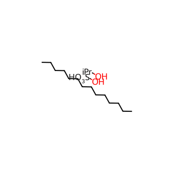 CC(C)O.CCCCCCCCCCCCCC.O=S(=O)(O)O